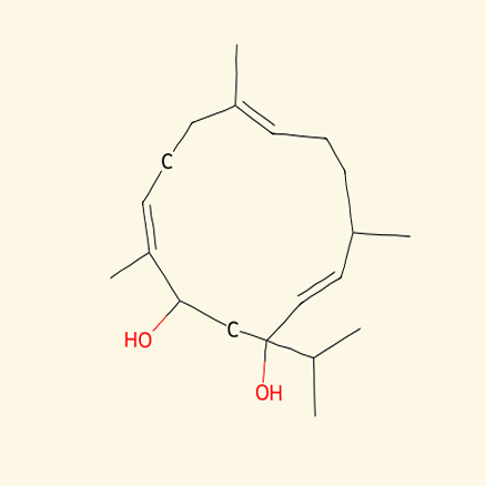 C/C1=C/CC/C(C)=C/CCC(C)/C=C/C(O)(C(C)C)CC1O